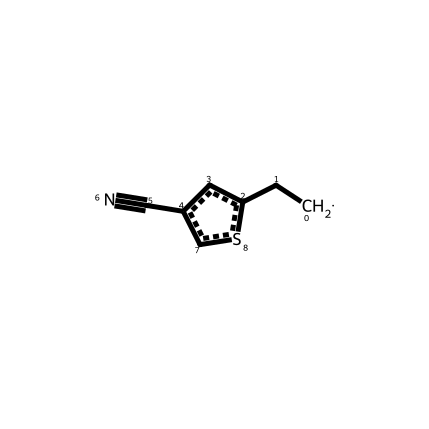 [CH2]Cc1cc(C#N)cs1